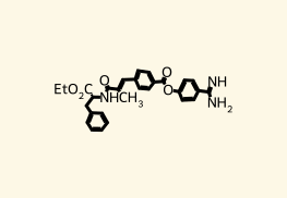 CCOC(=O)[C@H](Cc1ccccc1)NC(=O)/C(C)=C/c1ccc(C(=O)Oc2ccc(C(=N)N)cc2)cc1